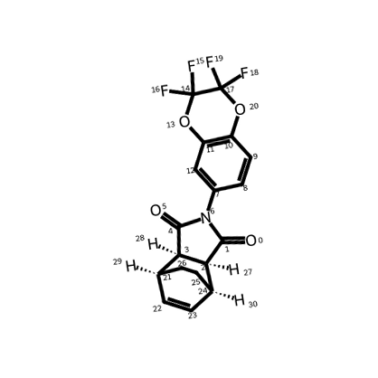 O=C1[C@@H]2[C@H](C(=O)N1c1ccc3c(c1)OC(F)(F)C(F)(F)O3)[C@@H]1C=C[C@H]2CC1